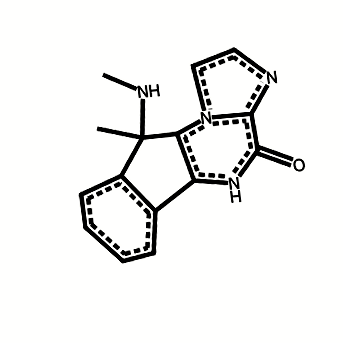 CNC1(C)c2ccccc2-c2[nH]c(=O)c3nccn3c21